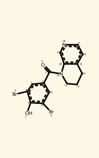 O=C(c1cc(Br)c(O)c(Br)c1)N1CCCc2ccncc21